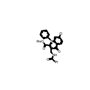 COC(=O)c1c(CNC(=O)C(C)C)c(=O)c2ccc(Cl)cc2n1-c1ccccc1